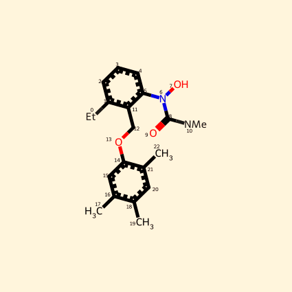 CCc1cccc(N(O)C(=O)NC)c1COc1cc(C)c(C)cc1C